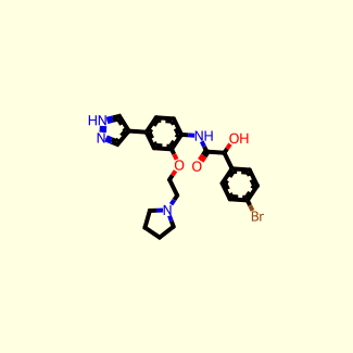 O=C(Nc1ccc(-c2cn[nH]c2)cc1OCCN1CCCC1)C(O)c1ccc(Br)cc1